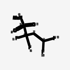 CNS(=O)(=O)C(F)(F)CC(F)F